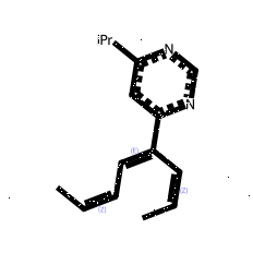 C\C=C/C=C(\C=C/C)c1cc(C(C)C)ncn1